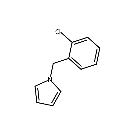 Clc1ccccc1Cn1cccc1